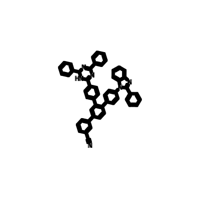 N#Cc1cccc(-c2ccc(-c3ccc(-n4c(-c5ccccc5)nc5ccccc54)cc3)c(-c3ccc(C4=NC(c5ccccc5)=NC(c5ccccc5)N4)cc3)c2)c1